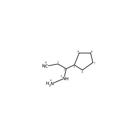 N#CCC(NN)C1CCCC1